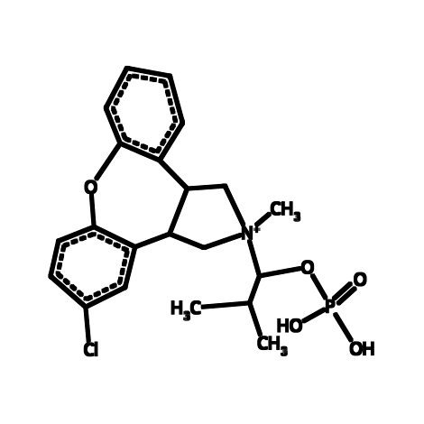 CC(C)C(OP(=O)(O)O)[N+]1(C)CC2c3ccccc3Oc3ccc(Cl)cc3C2C1